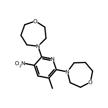 Cc1cc([N+](=O)[O-])c(N2CCCOCC2)nc1N1CCCOCC1